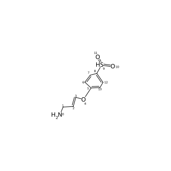 NCC=COc1ccc([SH](=O)=O)cc1